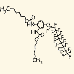 CCCCCCOC(=O)Nc1ccc(OC(F)=C(F)C(F)(F)C(F)(F)C(F)(F)C(F)(F)C(F)(F)C(F)(F)C(F)(F)F)cc1NC(=O)OCCCCCC